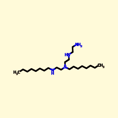 CCCCCCCCNCCN(CCCCCCCC)CCNCCN